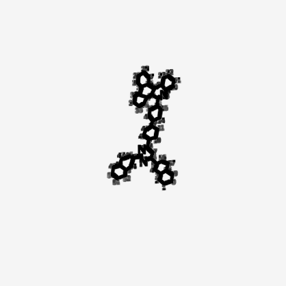 c1ccc2cc(-c3cc(-c4ccc(-c5ccc(-c6nc7ccccc7c7c8ccccc8c8ccccc8c67)cc5)cc4)nc(-c4ccc5ccccc5c4)n3)ccc2c1